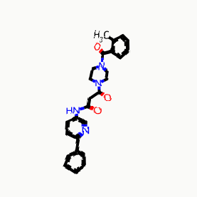 Cc1ccccc1C(=O)N1CCN(C(=O)CC(=O)Nc2ccc(-c3ccccc3)nc2)CC1